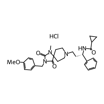 COc1ccc(CN2C(=O)N(C)C3(CCN(CC[C@H](NC(=O)C4CC4)c4ccccc4)CC3)C2=O)cc1.Cl